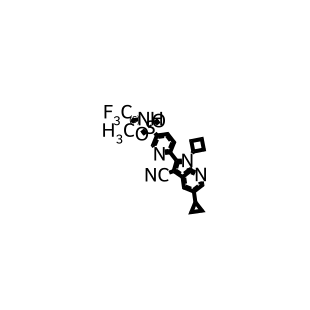 C[C@H](NS(=O)(=O)c1ccc(-c2c(C#N)c3cc(C4CC4)cnc3n2C2CCC2)nc1)C(F)(F)F